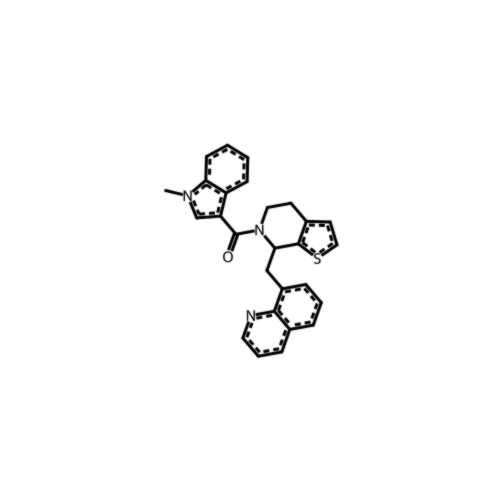 Cn1cc(C(=O)N2CCc3ccsc3C2Cc2cccc3cccnc23)c2ccccc21